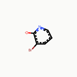 [O]c1ncccc1Br